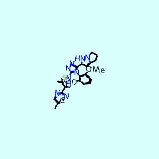 COc1cccc(OC)c1-n1c(NSC(C)C(C)c2ncc(C)cn2)nnc1C1C=C2CCCN2N1